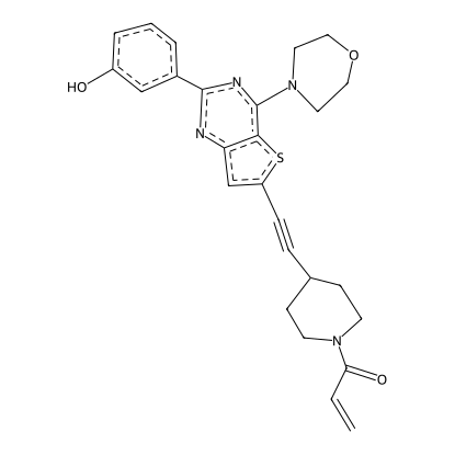 C=CC(=O)N1CCC(C#Cc2cc3nc(-c4cccc(O)c4)nc(N4CCOCC4)c3s2)CC1